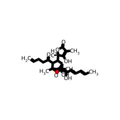 C=CCCC(=O)C1C([C@]2(C)OC(=O)C(C)=C2O)C2\C(=C(O)/C=C/C=C/C)C(=O)C1(C)C(=O)[C@@]2(C)O